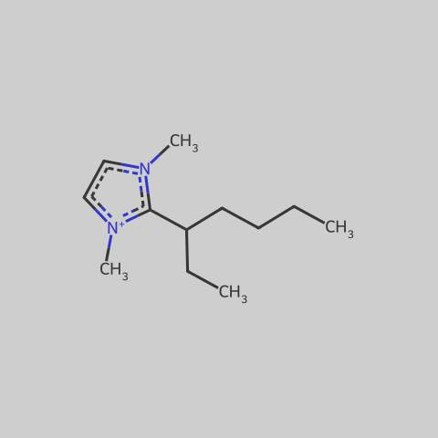 CCCCC(CC)c1n(C)cc[n+]1C